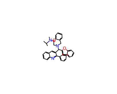 CC(C)N(C)C(=O)CN(Cc1ccccc1)C(c1cc2ccccc2o1)c1cc2ccccc2nc1-c1ccccc1